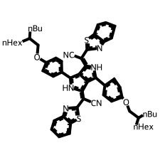 CCCCCCC(CCCC)COc1ccc(-c2[nH]/c(=C(/C#N)c3nc4ccccc4s3)c3c(-c4ccc(OCC(CCCC)CCCCCC)cc4)[nH]/c(=C(/C#N)c4nc5ccccc5s4)c23)cc1